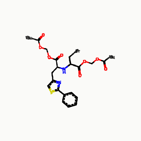 CC(C)CC(NC(Cc1csc(-c2ccccc2)n1)C(=O)OCOC(=O)C(C)(C)C)C(=O)OCOC(=O)C(C)(C)C